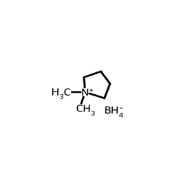 C[N+]1(C)CCCC1.[BH4-]